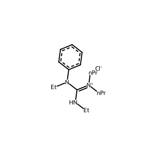 CCC[N+](CCC)=C(NCC)N(CC)c1ccccc1.[Cl-]